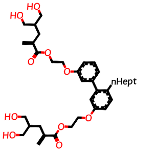 C=C(CC(CO)CO)C(=O)OCCOc1cccc(-c2cc(OCCOC(=O)C(=C)CC(CO)CO)ccc2CCCCCCC)c1